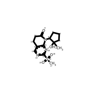 CC1(O)CCCC1N1C(=O)CCc2cnc(S(C)(=O)=O)nc21